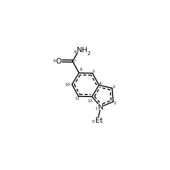 CCn1ccc2cc(C(N)=O)ccc21